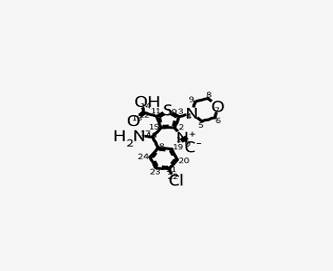 [C-]#[N+]c1c(N2CCOCC2)sc(C(=O)O)c1C(N)c1ccc(Cl)cc1